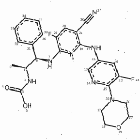 C[C@H](NC(=O)O)[C@H](Nc1nc(Nc2cnc(N3CCOCC3)c(F)c2)c(C#N)cc1F)c1ccccc1